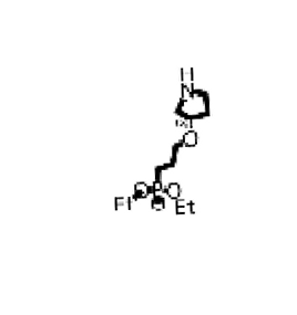 CCOP(=O)(CCCO[C@H]1CCNC1)OCC